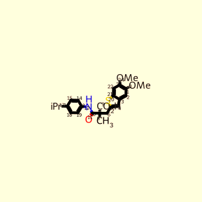 COc1cc2cc(CC(C)(C(=O)O)C(=O)Nc3ccc(C(C)C)cc3)sc2cc1OC